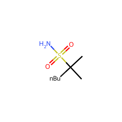 CCCCC(C)(C)S(N)(=O)=O